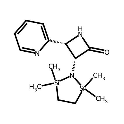 C[Si]1(C)CC[Si](C)(C)N1[C@H]1C(=O)N[C@H]1c1ccccn1